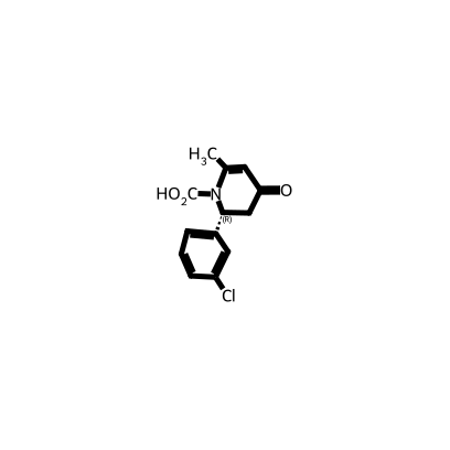 CC1=CC(=O)C[C@H](c2cccc(Cl)c2)N1C(=O)O